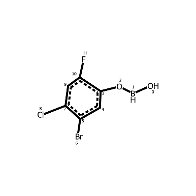 OBOc1cc(Br)c(Cl)cc1F